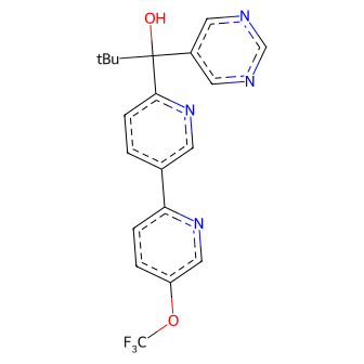 CC(C)(C)C(O)(c1cncnc1)c1ccc(-c2ccc(OC(F)(F)F)cn2)cn1